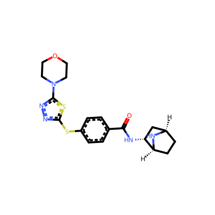 O=C(N[C@@H]1C[C@H]2CC[C@@H]1N2)c1ccc(Sc2nnc(N3CCOCC3)s2)cc1